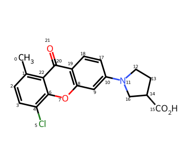 Cc1ccc(Cl)c2oc3cc(N4CCC(C(=O)O)C4)ccc3c(=O)c12